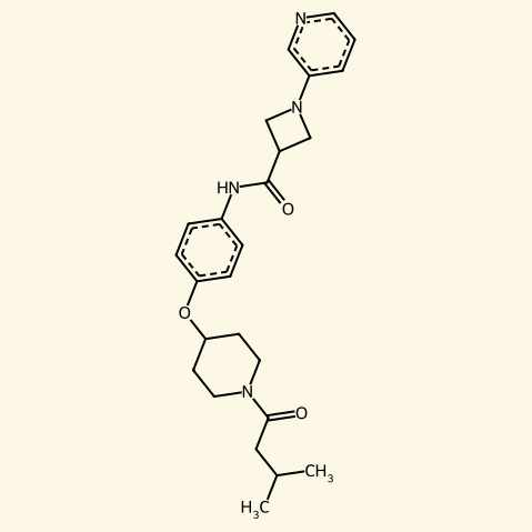 CC(C)CC(=O)N1CCC(Oc2ccc(NC(=O)C3CN(c4cccnc4)C3)cc2)CC1